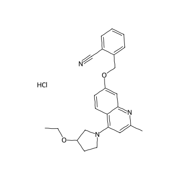 CCOC1CCN(c2cc(C)nc3cc(OCc4ccccc4C#N)ccc23)C1.Cl